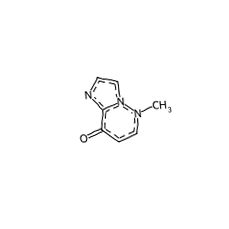 Cn1ccc(=O)c2nccn21